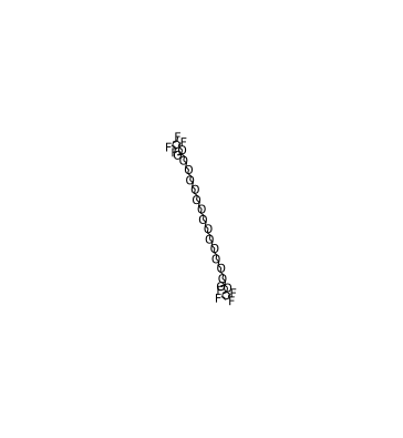 O=C(COCCOCCOCCOCCOCCOCCOCCOCCOCCOCCOCCOCCOCC(=O)Oc1c(F)c(F)cc(F)c1F)Oc1c(F)c(F)cc(F)c1F